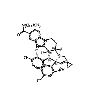 CN(O)C(=O)c1ccc2c(c1)nc1n2CC[C@H]2[C@@H]1[C@H](c1cccc(Cl)c1F)[C@]1(C(=O)Nc3cc(Cl)ccc31)N2CC1CC1